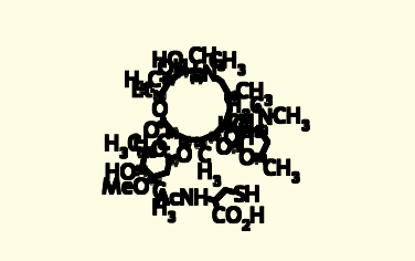 CC(=O)NC(CS)C(=O)O.CC[C@H]1OC(=O)[C@H](C)[C@@H](O[C@H]2C[C@@](C)(OC)[C@@H](O)[C@H](C)O2)[C@H](C)[C@@H](O[C@@H]2O[C@H](C)C[C@H](N(C)C)[C@H]2O)[C@](C)(O)C[C@@H](C)CN(C)[C@H](C)[C@@H](O)[C@]1(C)O